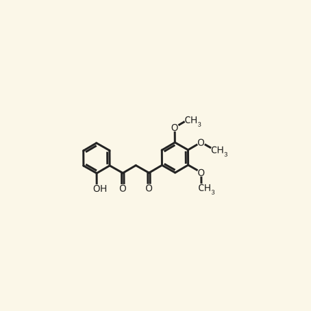 COc1cc(C(=O)CC(=O)c2ccccc2O)cc(OC)c1OC